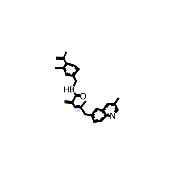 C=C(/C=C(\C)Cc1ccc2ncc(C)cc2c1)C(=O)BCc1ccc(C(=C)C)c(C)c1